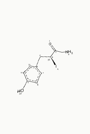 NC(=O)[C@@H](I)Cc1ccc(O)cc1